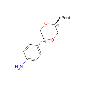 CCCCC[C@H]1CO[C@H](c2ccc(N)cc2)CO1